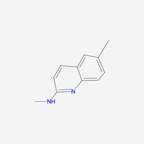 CNc1[c]cc2cc(C)ccc2n1